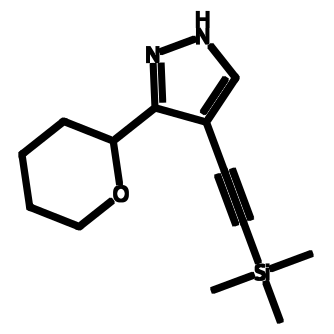 C[Si](C)(C)C#Cc1c[nH]nc1C1CCCCO1